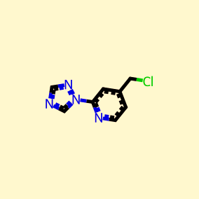 ClCc1ccnc(-n2cncn2)c1